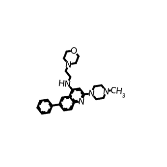 CN1CCN(c2cc(NCCN3CCOCC3)c3cc(-c4ccccc4)ccc3n2)CC1